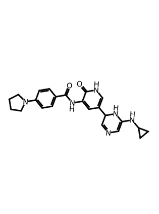 O=C(Nc1cc(C2C=NC=C(NC3CC3)N2)c[nH]c1=O)c1ccc(N2CCCC2)cc1